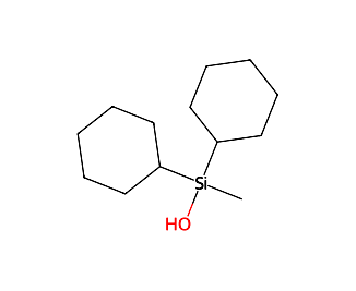 C[Si](O)(C1CCCCC1)C1CCCCC1